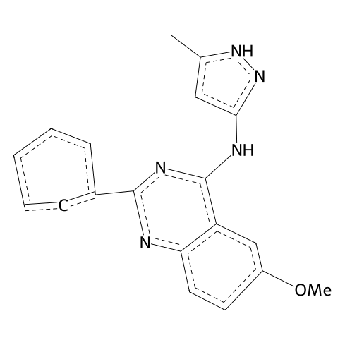 COc1ccc2nc(-c3ccccc3)nc(Nc3cc(C)[nH]n3)c2c1